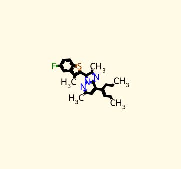 CC/C=C(\CCC)C1=CC(C)=NN2C1=NC(C)C2c1sc2ccc(F)cc2c1C